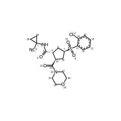 N#CC1(NC(=O)[C@@H]2C[C@@H](S(=O)(=O)c3ccccc3Cl)C[C@H]2C(=O)N2CCOCC2)CC1